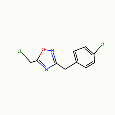 ClCc1nc(Cc2ccc(Cl)cc2)no1